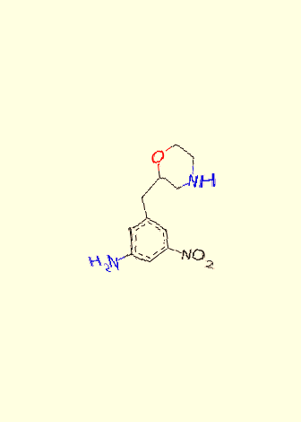 Nc1cc(CC2CNCCO2)cc([N+](=O)[O-])c1